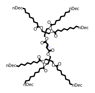 CCCCCCCCCCCCCCCCCC(=O)OCC(COC(=O)/C=C/C(=O)OCC(COC(=O)CCCCCCCCCCCCCCCCC)(COC(=O)CCCCCCCCCCCCCCCCC)COC(=O)CCCCCCCCCCCCCCCCC)(COC(=O)CCCCCCCCCCCCCCCCC)COC(=O)CCCCCCCCCCCCCCCCC